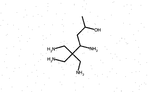 CC(O)CC(N)C(CN)(CN)CN